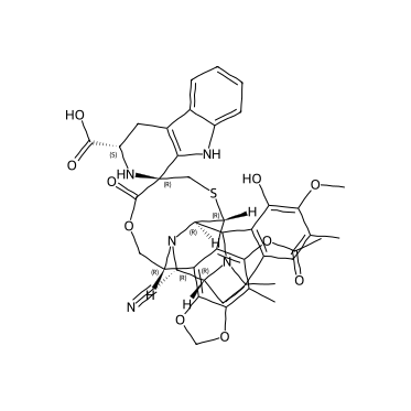 COc1c(C)cc2c(c1O)C1[C@@H]3[C@@H]4SC[C@]5(N[C@H](C(=O)O)Cc6c5[nH]c5ccccc65)C(=O)OC[C@@H](c5c6c(c(C)c(OC(C)=O)c54)OCO6)N3[C@@H](C#N)[C@H]3CC2(C)N13